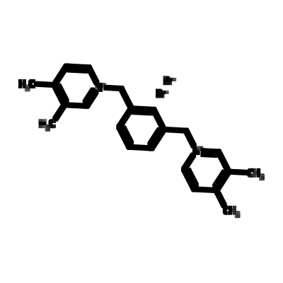 Cc1cc[n+](Cc2cccc(C[n+]3ccc(C)c(C)c3)c2)cc1C.[Br-].[Br-]